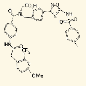 COc1ccc(CC(=O)Nc2ccc(C(=O)N(CC(=O)O)Cc3ccc(-c4noc(NS(=O)(=O)c5ccc(C)cc5)n4)cc3)cc2)c(C(F)(F)F)c1